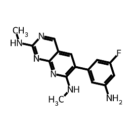 CNc1ncc2cc(-c3cc(N)cc(F)c3)c(NC)nc2n1